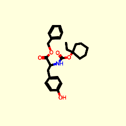 CCC1(OC(=O)NC(Cc2ccc(O)cc2)C(=O)OCc2ccccc2)CCCCC1